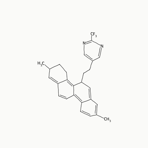 Cc1ccc2c(c1)=CC(CCc1cnc(C(F)(F)F)nc1)c1c3c(ccc1=2)=CC(C)CC3